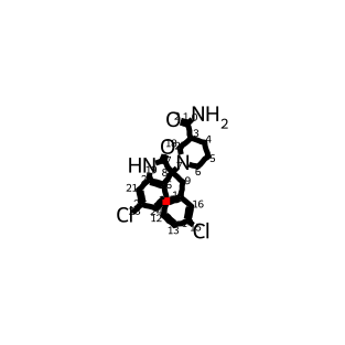 NC(=O)C1CCCN(C2(Cc3cccc(Cl)c3)C(=O)Nc3cc(Cl)ccc32)C1